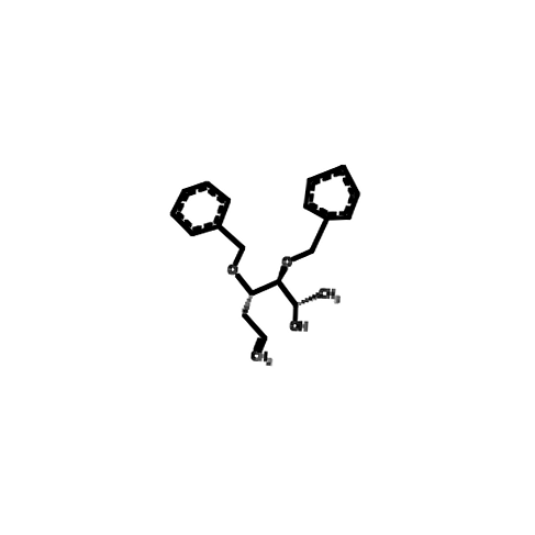 C=CC[C@H](OCc1ccccc1)[C@@H](OCc1ccccc1)[C@H](C)O